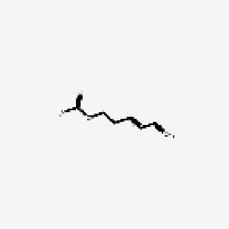 C=C/C=C/CCOC(N)=O